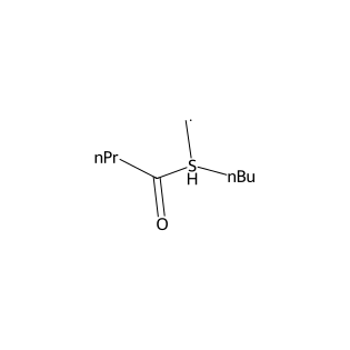 [CH2][SH](CCCC)C(=O)CCC